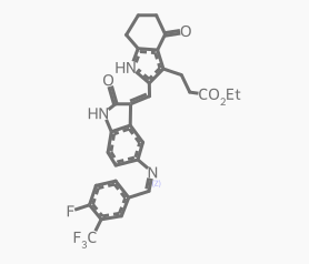 CCOC(=O)CCc1c(C=C2C(=O)Nc3ccc(/N=C\c4ccc(F)c(C(F)(F)F)c4)cc32)[nH]c2c1C(=O)CCC2